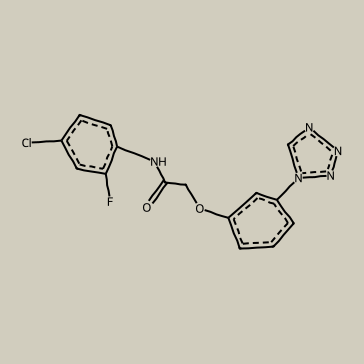 O=C(COc1cccc(-n2cnnn2)c1)Nc1ccc(Cl)cc1F